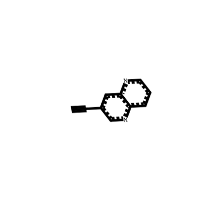 C#Cc1cnc2cccnc2c1